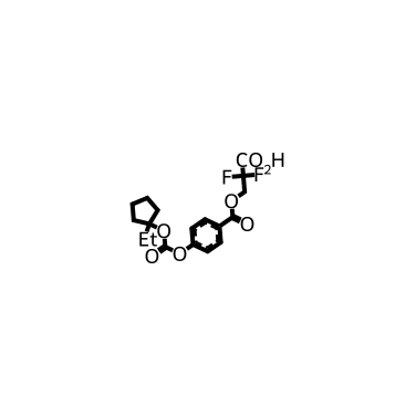 CCC1(OC(=O)Oc2ccc(C(=O)OCC(F)(F)C(=O)O)cc2)CCCC1